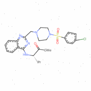 COC(=O)[C@@H](Nc1nc(CN2CCN(S(=O)(=O)c3ccc(Cl)cc3)CC2)nc2ccccc12)C(C)C